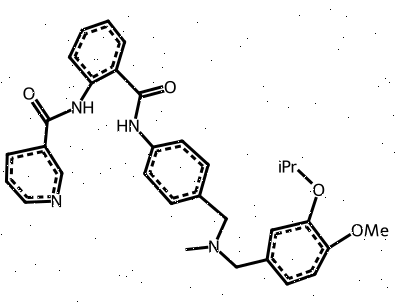 COc1ccc(CN(C)Cc2ccc(NC(=O)c3ccccc3NC(=O)c3cccnc3)cc2)cc1OC(C)C